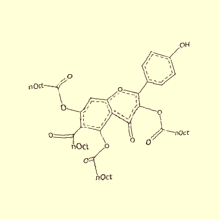 CCCCCCCCC(=O)Oc1cc2oc(-c3ccc(O)cc3)c(OC(=O)CCCCCCCC)c(=O)c2c(OC(=O)CCCCCCCC)c1C(=O)CCCCCCCC